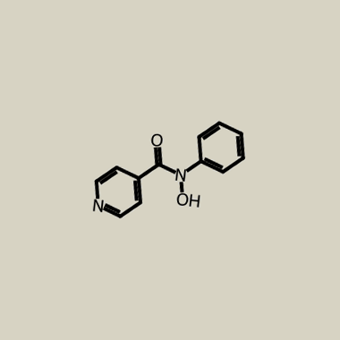 O=C(c1ccncc1)N(O)c1ccccc1